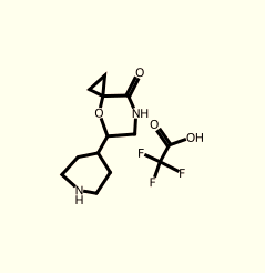 O=C(O)C(F)(F)F.O=C1NCC(C2CCNCC2)OC12CC2